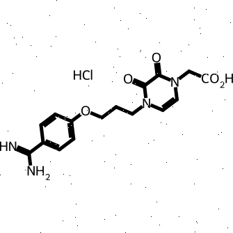 Cl.N=C(N)c1ccc(OCCCn2ccn(CC(=O)O)c(=O)c2=O)cc1